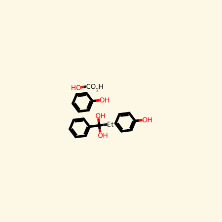 CCC(O)(O)c1ccccc1.O=C(O)O.Oc1ccccc1.Oc1ccccc1